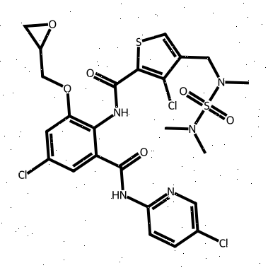 CN(C)S(=O)(=O)N(C)Cc1csc(C(=O)Nc2c(OCC3CO3)cc(Cl)cc2C(=O)Nc2ccc(Cl)cn2)c1Cl